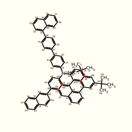 CC(C)(C)c1cc(-c2cccc3cccc(-c4ccccc4N(c4ccc(-c5ccc(-c6cccc7ccccc67)cc5)cc4)c4ccc(-c5ccc6ccccc6c5)cc4)c23)cc(C(C)(C)C)c1